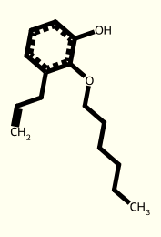 C=CCc1cccc(O)c1OCCCCCC